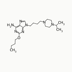 CCCCOc1nc(N)c2ncn(CCCCN3CCN(C(C)C)CC3)c2n1